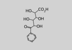 O=C(O)C(O)C(O)C(O)C(O)C(=O)c1ccccc1